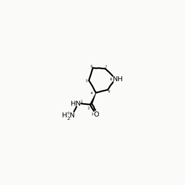 NNC(=O)[C@H]1CCCNC1